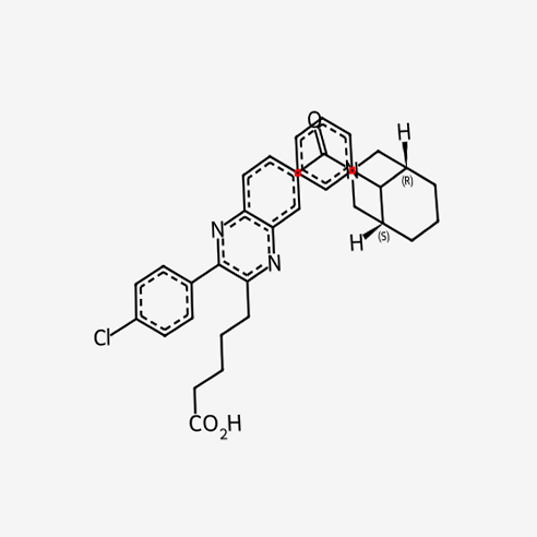 O=C(O)CCCCc1nc2cc(C(=O)N3C[C@H]4CCC[C@@H](C3)C4c3ccccc3)ccc2nc1-c1ccc(Cl)cc1